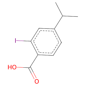 CC(C)c1ccc(C(=O)O)c(I)c1